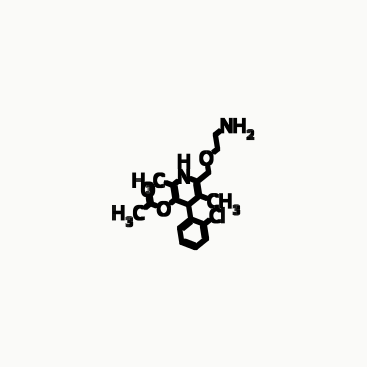 CC(=O)OC1=C(C)NC(COCCN)=C(C)C1c1ccccc1Cl